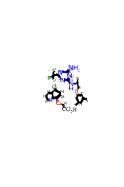 Cc1cc(C)cc(OCC(C)Nc2nc(N)nc(C(C)(C)F)n2)c1.O=C(O)COc1ccc(Cl)c2cccnc12